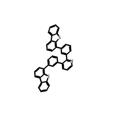 c1cc(-c2cccnc2-c2cccc(-c3cccc4c3sc3ccccc34)c2)cc(-c2cccc3c2sc2ccccc23)c1